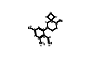 CC(=O)N1CCN(c2cc(Cl)cc(N)c2C=N)CC12CCC2